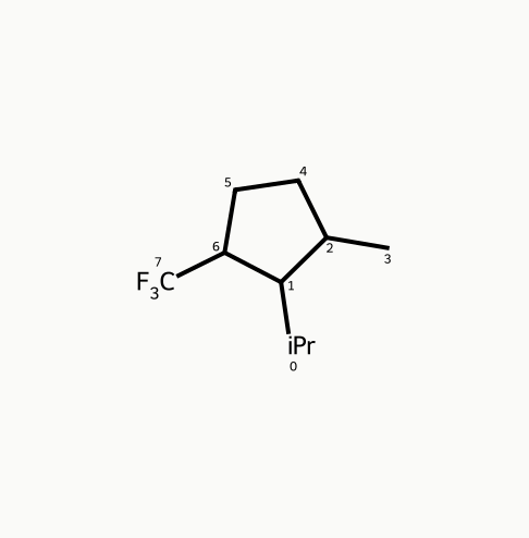 CC(C)C1C(C)CCC1C(F)(F)F